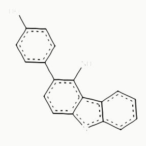 Nc1c(-c2ccc(O)cc2)ccc2[nH]c3ccccc3c12